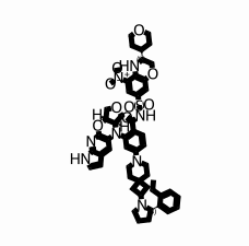 CCc1ccccc1[C@@H]1CCCN1C1CC2(CCN(c3ccc(C(=O)NS(=O)(=O)c4cc5c(c([N+](=O)[O-])c4)N[C@H](C4CCOCC4)CO5)c(N4c5cc6cc[nH]c6nc5O[C@H]5COC[C@H]54)c3)CC2)C1